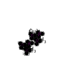 Cc1c([Si-](c2cccc(P(c3ccccc3)c3ccccc3)c2C)c2cccc(P(c3ccccc3)c3ccccc3)c2C)cccc1P(c1ccccc1)c1ccccc1.Cc1c([Si-](c2cccc(P(c3ccccc3)c3ccccc3)c2C)c2cccc(P(c3ccccc3)c3ccccc3)c2C)cccc1P(c1ccccc1)c1ccccc1.[Cu+2]